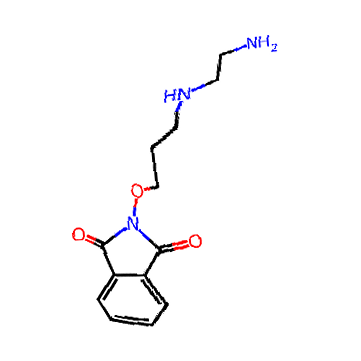 NCCNCCCON1C(=O)c2ccccc2C1=O